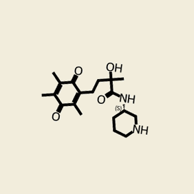 CC1=C(C)C(=O)C(CCC(C)(O)C(=O)N[C@H]2CCCNC2)=C(C)C1=O